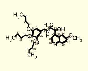 CCCCOc1cc(CN[C@@H](C)[C@H](O)c2ccnc3ccc(OC)cc23)cc(OCCCC)c1OCCCC